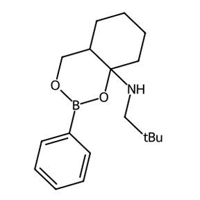 CC(C)(C)CNC12CCCCC1COB(c1ccccc1)O2